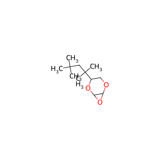 CC(C)(C)CC(C)(C)C1COC2OC2O1